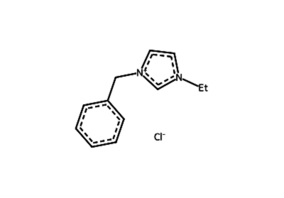 CCn1cc[n+](Cc2ccccc2)c1.[Cl-]